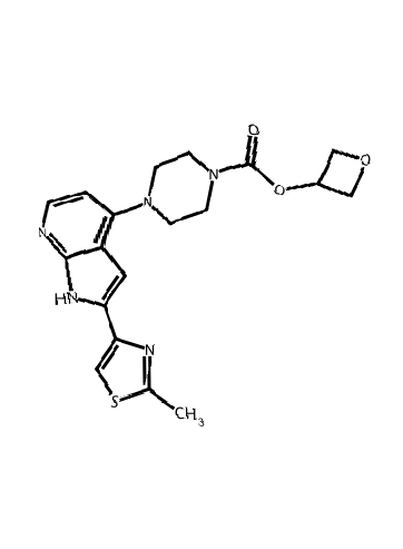 Cc1nc(-c2cc3c(N4CCN(C(=O)OC5COC5)CC4)ccnc3[nH]2)cs1